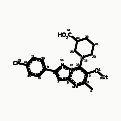 CCOc1c(C)nc2cc(-c3ccc(Cl)cc3)nn2c1N1CCCC(C(=O)O)C1